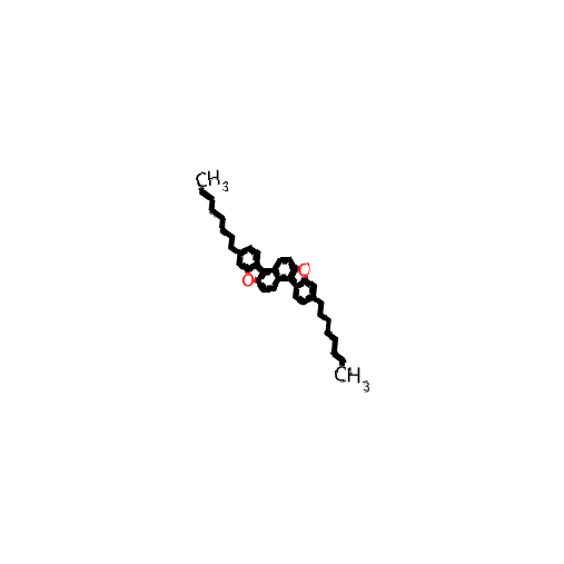 CCCCCCCCc1ccc2c(c1)oc1ccc3c(ccc4oc5cc(CCCCCCCC)ccc5c43)c12